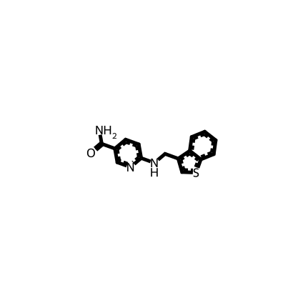 NC(=O)c1ccc(NCc2csc3ccccc23)nc1